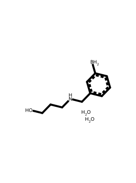 Bc1cccc(CNCCCO)c1.O.O